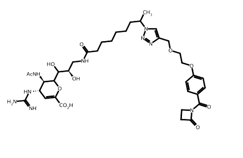 CC(=O)N[C@H]1C(C(O)[C@H](O)CNC(=O)CCCCCCC(C)n2cc(COCCOc3ccc(C(=O)N4CCC4=O)cc3)nn2)OC(C(=O)O)=C[C@@H]1NC(=N)N